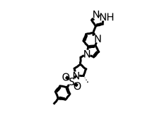 Cc1ccc(S(=O)(=O)N2CC(Cn3ccc4nc(-c5cn[nH]c5)ccc43)C[C@@H]2C)cc1